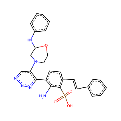 Nc1c(-c2nnncc2N2CCOC(Nc3ccccc3)C2)ccc(C=Cc2ccccc2)c1S(=O)(=O)O